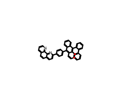 c1ccc(-c2ccccc2-c2c3ccccc3c(-c3ccc(-c4ccc5ccc6cccnc6c5n4)cc3)c3ccccc23)cc1